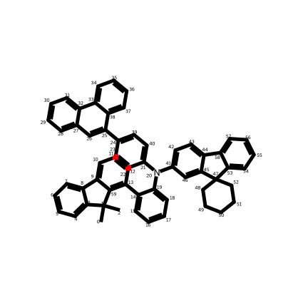 CC1(C)c2ccccc2-c2cccc(-c3ccccc3N(c3ccc(-c4cc5ccccc5c5ccccc45)cc3)c3ccc4c(c3)C3(CCCCC3)c3ccccc3-4)c21